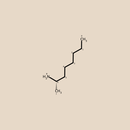 CCCCCC[C@H](C)N